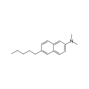 CCCCCc1ccc2cc(N(C)C)ccc2c1